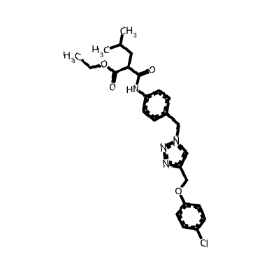 CCOC(=O)C(CC(C)C)C(=O)Nc1ccc(Cn2cc(COc3ccc(Cl)cc3)nn2)cc1